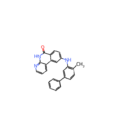 Cc1ccc(-c2ccccc2)cc1Nc1ccc2c(=O)[nH]c3ncccc3c2c1